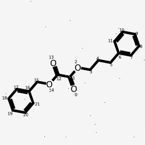 O=C(OCCCc1ccccc1)C(=O)OCc1ccccc1